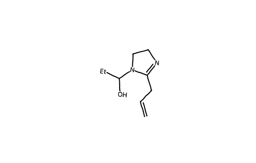 C=CCC1=NCCN1C(O)CC